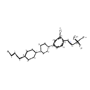 CCCCC1CCC(C2CCC(c3ccc(/C=C/C(F)(F)F)c(Cl)c3)CC2)CC1